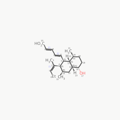 CC/C=C(/C)[C@H]1[C@@H](/C=C/C=C/C(=O)O)[C@H]2[C@@H](C[C@H]1C)[C@@H](O)CC[C@@H]2C